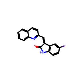 O=C1Nc2ccc(I)cc2C1=Cc1ccc2ccccc2n1